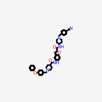 N#Cc1ccc(CN2CCC(NC(=O)c3cc4cc(NC(=O)C5CCN(Cc6ccc(Oc7ccccc7)cc6)CC5)ccc4o3)CC2)cc1